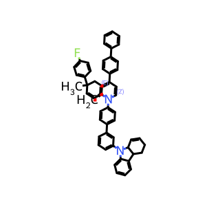 C=C/C=C(\C=C/N(C1=CCC(C)(c2ccc(F)cc2)C=C1)c1ccc(-c2cccc(N3c4ccccc4C4CCC=CC43)c2)cc1)c1ccc(-c2ccccc2)cc1